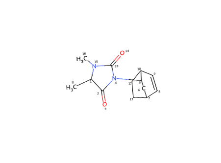 CC1C(=O)N(C2CC3C=CC2CC3)C(=O)N1C